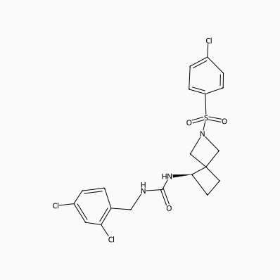 O=C(NCc1ccc(Cl)cc1Cl)N[C@@H]1CCC12CN(S(=O)(=O)c1ccc(Cl)cc1)C2